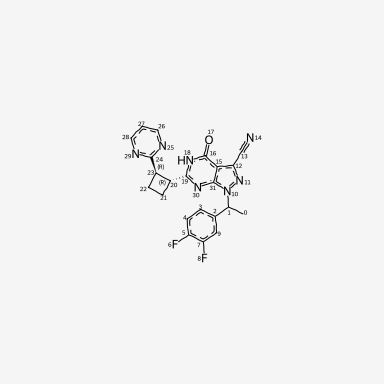 CC(c1ccc(F)c(F)c1)n1nc(C#N)c2c(=O)[nH]c([C@@H]3CC[C@H]3c3ncccn3)nc21